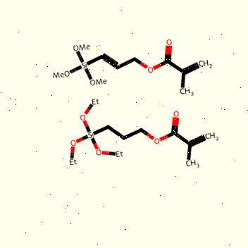 C=C(C)C(=O)OCC=C[Si](OC)(OC)OC.C=C(C)C(=O)OCCC[Si](OCC)(OCC)OCC